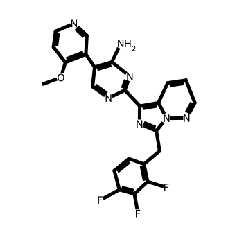 COc1ccncc1-c1cnc(-c2nc(Cc3ccc(F)c(F)c3F)n3ncccc23)nc1N